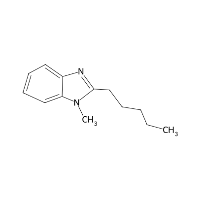 CCCCCc1nc2ccccc2n1C